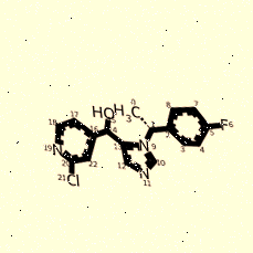 C[C@H](c1ccc(F)cc1)n1cncc1C(O)c1ccnc(Cl)c1